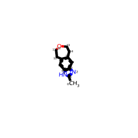 Cc1nc2cc3c(cc2[nH]1)CCOCC3